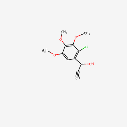 C#CC(O)c1cc(OC)c(OC)c(OC)c1Cl